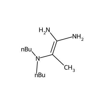 CCCCN(CCCC)C(C)=C(N)N